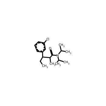 CCC(c1cccc(Cl)c1)C(C)C(=O)N(C(C)C)C(C)C